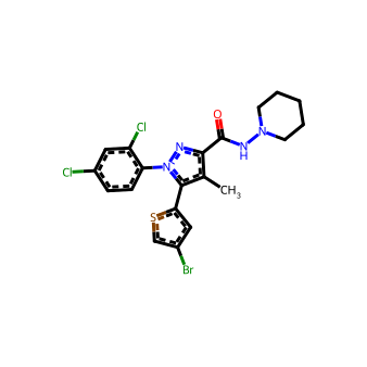 Cc1c(C(=O)NN2CCCCC2)nn(-c2ccc(Cl)cc2Cl)c1-c1cc(Br)cs1